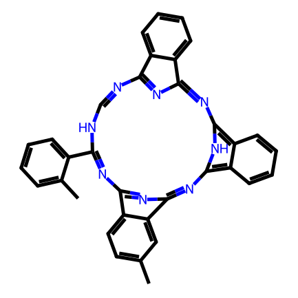 Cc1ccc2c(c1)-c1nc-2nc(-c2ccccc2C)[nH]cnc2nc(nc3[nH]c(n1)c1ccccc31)-c1ccccc1-2